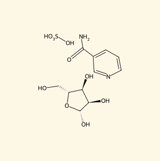 NC(=O)c1cccnc1.O=S(=O)(O)O.OC[C@H]1O[C@@H](O)[C@H](O)[C@@H]1O